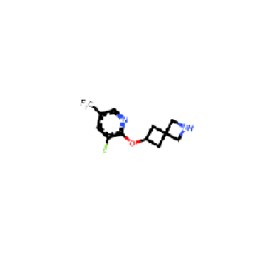 Fc1cc(C(F)(F)F)cnc1OC1CC2(CNC2)C1